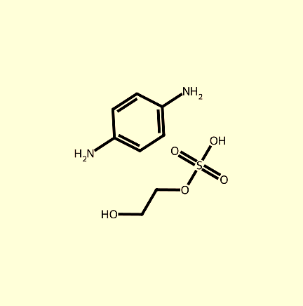 Nc1ccc(N)cc1.O=S(=O)(O)OCCO